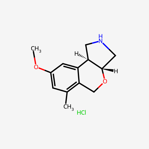 COc1cc(C)c2c(c1)[C@H]1CNC[C@@H]1OC2.Cl